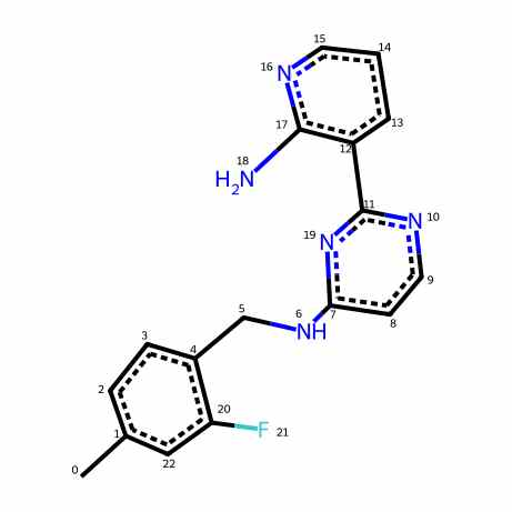 Cc1ccc(CNc2ccnc(-c3cccnc3N)n2)c(F)c1